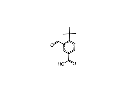 CC(C)(C)c1ccc(C(=O)O)cc1C=O